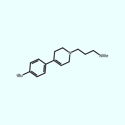 CNCCCN1CC=C(c2ccc(C(C)(C)C)cc2)CC1